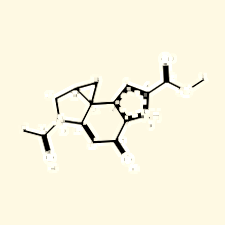 COC(=O)c1cc2c([nH]1)C(=O)C=C1N(C(C)=O)CC3CC123